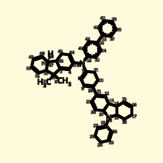 CC1(C)C2=CC(N(C3=CC=C(C4=CC5C6C=CCCC6N(C6=CCCC=C6)C5C=C4)CC3)c3ccc(-c4ccccc4)cc3)=CCC2[C@@H]2C=CC=CC21